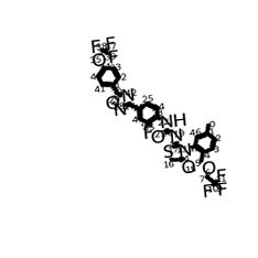 Cc1ccc(COCC(F)(F)F)c(N2C(=O)CSC2=NC(=O)Nc2ccc(-c3noc(-c4ccc(OC(F)(F)F)cc4)n3)cc2F)c1